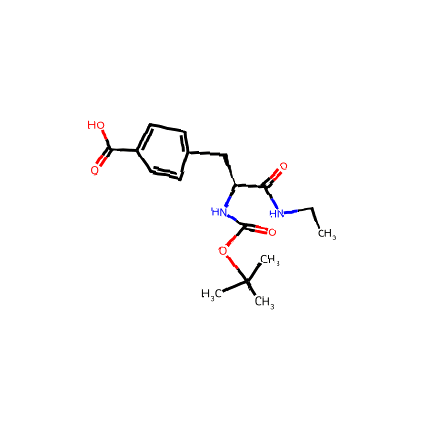 CCNC(=O)[C@H](Cc1ccc(C(=O)O)cc1)NC(=O)OC(C)(C)C